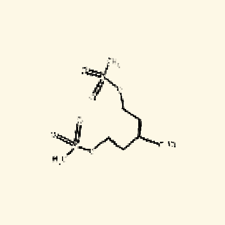 CS(=O)(=O)OCCC(C=O)CCOS(C)(=O)=O